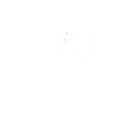 CC1(C)OC(=O)C(C(=O)C(COC2CCCCC(C3CCCCCCCCC3)CCCC2)NI)C(=O)O1